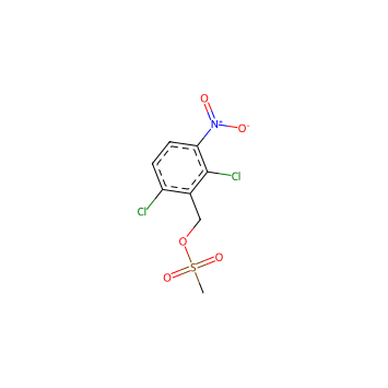 CS(=O)(=O)OCc1c(Cl)ccc([N+](=O)[O-])c1Cl